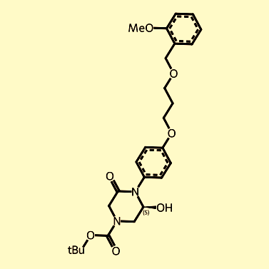 COc1ccccc1COCCCOc1ccc(N2C(=O)CN(C(=O)OC(C)(C)C)C[C@@H]2O)cc1